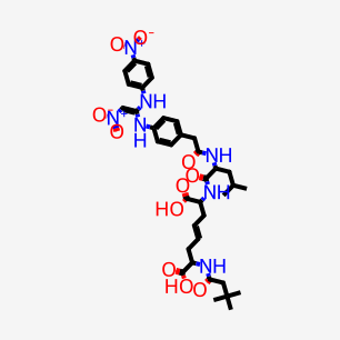 CC(C)CC(NC(=O)Cc1ccc(NC(=C[N+](=O)[O-])Nc2ccc([N+](=O)[O-])cc2)cc1)C(=O)NC(CC=CCC(NC(=O)CC(C)(C)C)C(=O)O)C(=O)O